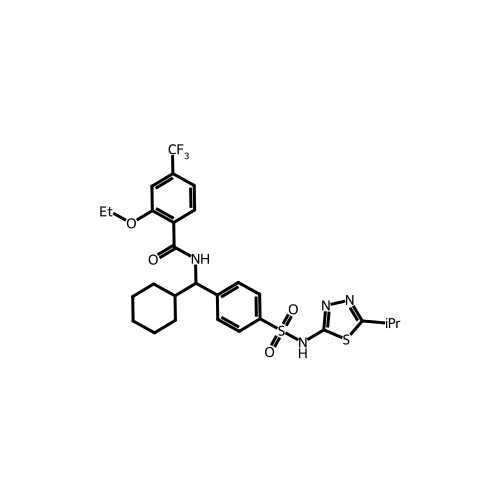 CCOc1cc(C(F)(F)F)ccc1C(=O)NC(c1ccc(S(=O)(=O)Nc2nnc(C(C)C)s2)cc1)C1CCCCC1